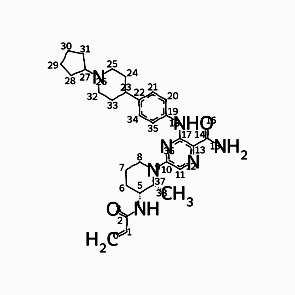 C=CC(=O)N[C@@H]1CCCN(c2cnc(C(N)=O)c(Nc3ccc(C4CCN(C5CCCC5)CC4)cc3)n2)[C@@H]1C